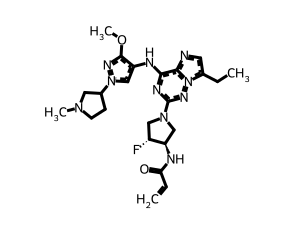 C=CC(=O)N[C@@H]1CN(c2nc(Nc3cn(C4CCN(C)C4)nc3OC)c3ncc(CC)n3n2)C[C@H]1F